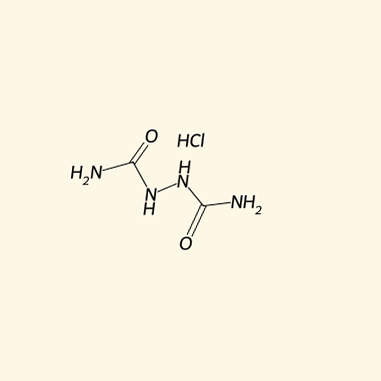 Cl.NC(=O)NNC(N)=O